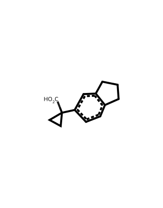 O=C(O)C1(c2ccc3c(c2)CCC3)CC1